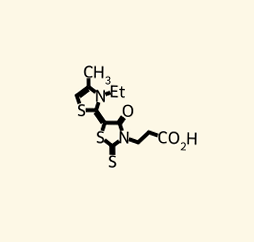 CCN1C(C)=CS/C1=C1\SC(=S)N(CCC(=O)O)C1=O